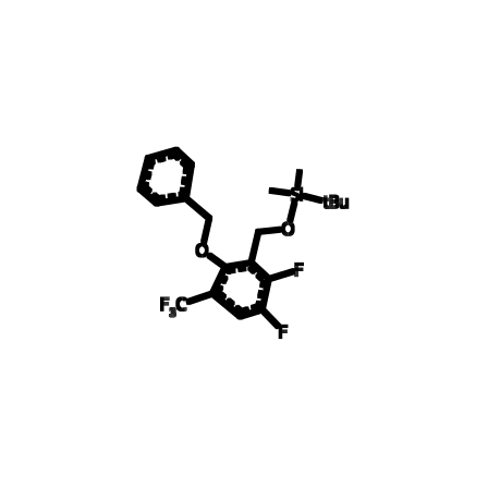 CC(C)(C)[Si](C)(C)OCc1c(F)c(F)cc(C(F)(F)F)c1OCc1ccccc1